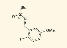 COc1ccc(F)c(C=N[S@+]([O-])C(C)(C)C)c1